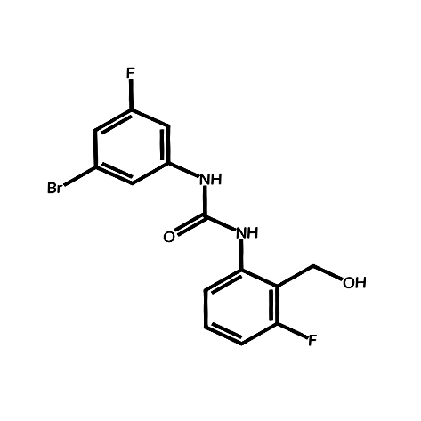 O=C(Nc1cc(F)cc(Br)c1)Nc1cccc(F)c1CO